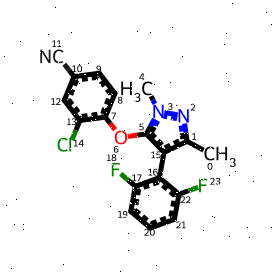 Cc1nn(C)c(Oc2ccc(C#N)cc2Cl)c1-c1c(F)cccc1F